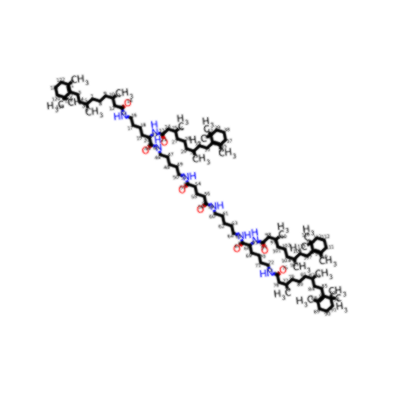 CC1=C(CCC(C)CCCC(C)CC(=O)NCCCCC(NC(=O)CC(C)CCCC(C)CCC2=C(C)CCCC2(C)C)C(=O)NCCCCCNC(=O)CCCC(=O)NCCCCCNC(=O)C(CCCCNC(=O)CC(C)CCCC(C)CCC2=C(C)CCCC2(C)C)NC(=O)CC(C)CCCC(C)CCC2=C(C)CCCC2(C)C)C(C)(C)CCC1